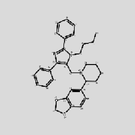 CCCCn1c(-c2ccccc2)nc(-c2ccccc2)c1CN1CCCCC1c1ccc2c(c1)OCO2